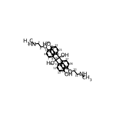 CNCCOc1ccc(C(O)(c2ccc(O)cc2)C(O)(c2ccc(O)cc2)c2ccc(OCCNC)cc2)cc1